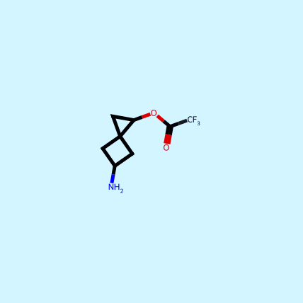 NC1CC2(C1)CC2OC(=O)C(F)(F)F